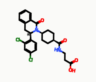 O=C(O)CCNC(=O)[C@H]1CC[C@@H](N2C(=O)c3ccccc3C[C@@H]2c2ccc(Cl)cc2Cl)CC1